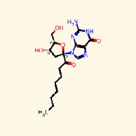 CCCCCCCC(=O)[C@]1(n2cnc3c(=O)[nH]c(N)nc32)C[C@H](O)[C@@H](CO)O1